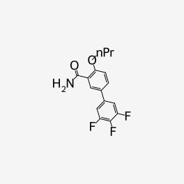 CCCOc1ccc(-c2cc(F)c(F)c(F)c2)cc1C(N)=O